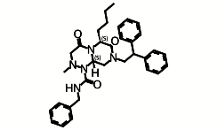 CCCC[C@H]1C(=O)N(CC(c2ccccc2)c2ccccc2)C[C@H]2N1C(=O)CN(C)N2C(=O)NCc1ccccc1